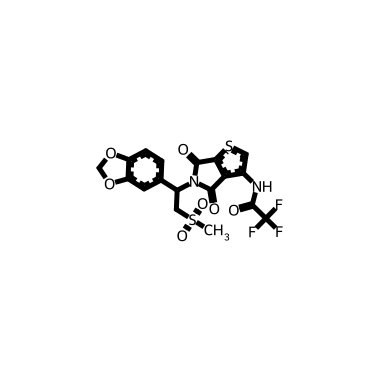 CS(=O)(=O)CC(c1ccc2c(c1)OCO2)N1C(=O)c2scc(NC(=O)C(F)(F)F)c2C1=O